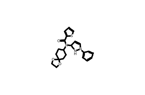 O=C(c1cccs1)N(C1CCC2(CC1)OCCO2)C1C=CN(c2ccccc2)N1